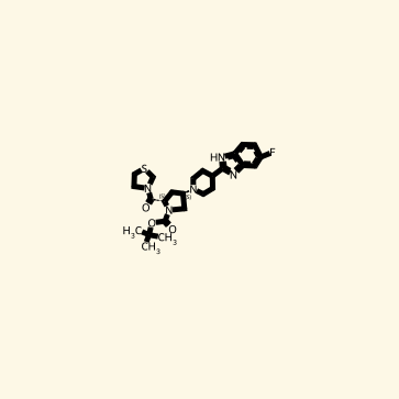 CC(C)(C)OC(=O)N1C[C@@H](N2CCC(c3nc4cc(F)ccc4[nH]3)CC2)C[C@H]1C(=O)N1CCSC1